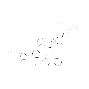 CCn1ccc(-c2cc(-c3cnn(C)c3)cc([C@@H](C)NC(=O)c3ccccc3CCC(=O)NNC(=O)/C=C/CN(C)C)c2)n1